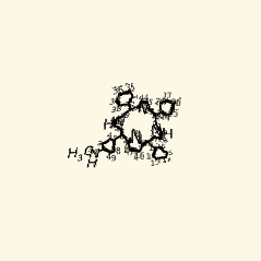 CNc1ccc(-c2c3nc(c(-c4ccccc4)c4ccc([nH]4)c(-c4ccccc4)c4nc(c(-c5ccccc5)c5[nH]c2CC5)C=C4)C=C3)cc1